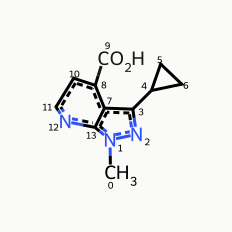 Cn1nc(C2CC2)c2c(C(=O)O)ccnc21